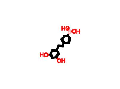 OB(O)C1C=CC(/C=C/c2cc(O)cc(O)c2)=CC1